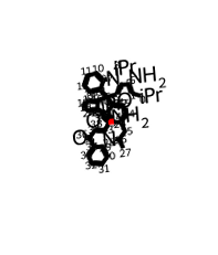 CC(C)c1oc2c(c1N)N(C(C)C)c1ccccc1C21c2ccccc2-c2cc(CC(C)n3c4ccccc4c(=O)c4oc(C(C)C)c(N)c43)ccc21